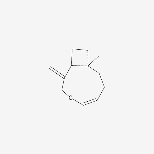 C=C1CCC=CCCC2(C)CCC12